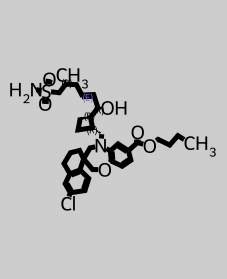 CCCCOC(=O)c1ccc2c(c1)N(C[C@@H]1CC[C@H]1[C@@H](O)/C=C/C[C@@H](C)CS(N)(=O)=O)CC1(CCCc3cc(Cl)ccc31)CO2